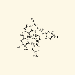 CC(C)(C)N1CCC(N2C=C([C@@H](Nc3cc(Cl)c4ncc(C#N)c(Nc5ccc(F)c(Cl)c5F)c4c3)c3ccc(Cl)cc3)NN2)CC1